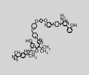 Cc1ncsc1-c1ccc([C@H](C)NC(=O)[C@@H]2C[C@@H](O)CN2C(=O)[C@@H](c2cc(N3CCC(CN4CCC(O[C@H]5C[C@H](Oc6cc(N7CCN(c8cc(-c9ccccc9O)nnc8N)CC7)ccn6)C5)CC4)CC3)no2)C(C)C)cc1